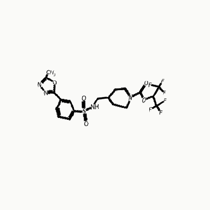 Cc1nnc(-c2cccc(S(=O)(=O)NCC3CCN(C(=O)OC(C(F)(F)F)C(F)(F)F)CC3)c2)o1